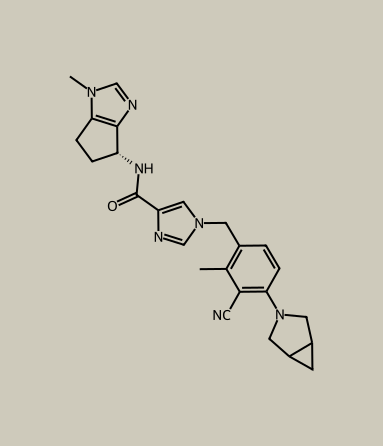 Cc1c(Cn2cnc(C(=O)N[C@@H]3CCc4c3ncn4C)c2)ccc(N2CC3CC3C2)c1C#N